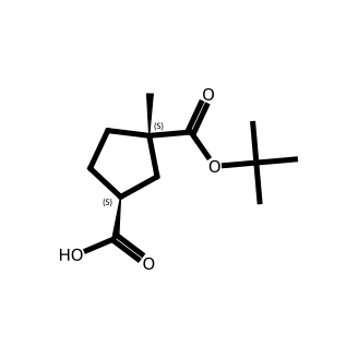 CC(C)(C)OC(=O)[C@@]1(C)CC[C@H](C(=O)O)C1